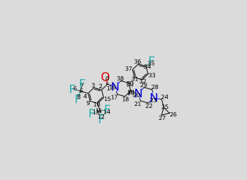 O=C(c1cc(C(F)(F)F)cc(C(F)(F)F)c1)N1CC[C@@H](N2CCN(CC3CC3)CC2)[C@@H](c2ccc(F)cc2)C1